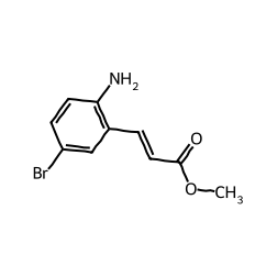 COC(=O)/C=C/c1cc(Br)ccc1N